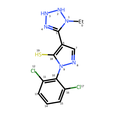 CCN1NNN=C1c1cnn(-c2c(Cl)cccc2Cl)c1S